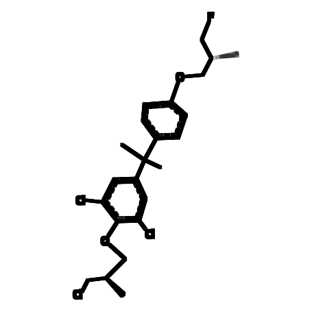 C[C@@H](CF)COc1ccc(C(C)(C)c2cc(Cl)c(OC[C@@H](C)CCl)c(Cl)c2)cc1